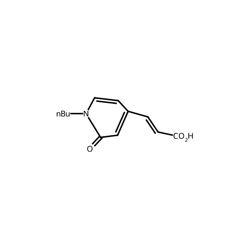 CCCCn1ccc(/C=C/C(=O)O)cc1=O